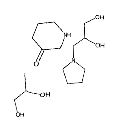 CC(O)CO.O=C1CCCNC1.OCC(O)CN1CCCC1